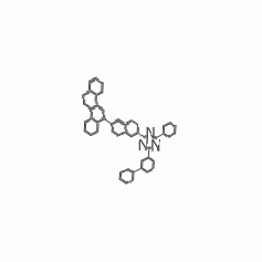 c1ccc(-c2cccc(-c3nc(-c4ccccc4)nc(-c4ccc5cc(-c6cc7c8ccccc8ccc7c7ccccc67)ccc5c4)n3)c2)cc1